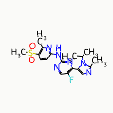 Cc1nc(Nc2ncc(F)c(-c3cnc(C)n3C(C)C)n2)ccc1S(C)(=O)=O